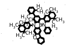 Cc1cc2c(cc1N1c3cc4oc5ccccc5c4cc3B3c4c(cc(-c5c(C)cccc5C)cc41)-c1cc4c(cc1N3c1ccccc1)C(C)(C)CCC4(C)C)C(C)(C)CCC2(C)C